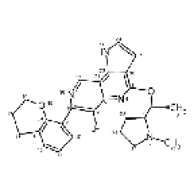 C[C@H](Oc1nc2c(F)c(-c3cccc4c3OCCC4)ncc2c2[nH]ccc12)[C@@H]1CCCN1C